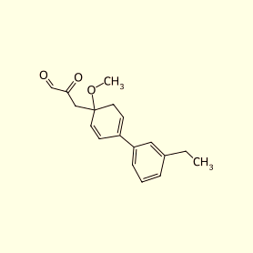 CCc1cccc(C2=CCC(CC(=O)C=O)(OC)C=C2)c1